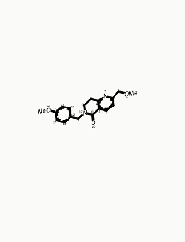 COCc1ccc2c(n1)CCN(Cc1ccc(OC)cc1)C2=O